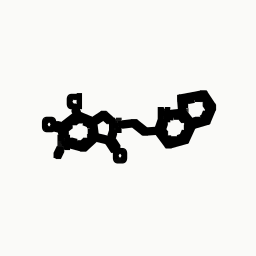 Cn1cc2c(c(Cl)c1=O)CN(CCc1ccc3ccccc3n1)C2=O